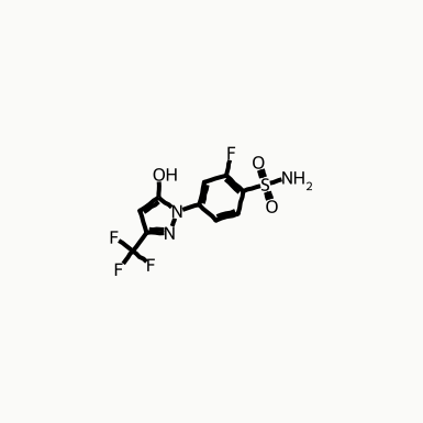 NS(=O)(=O)c1ccc(-n2nc(C(F)(F)F)cc2O)cc1F